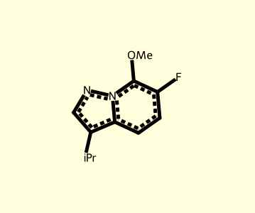 COc1c(F)ccc2c(C(C)C)cnn12